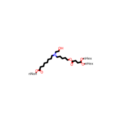 CCCCCCCCCOC(=O)CCCCCCCN(CCO)CCCCCOC(=O)CCC(OCCCCCC)OCCCCCC